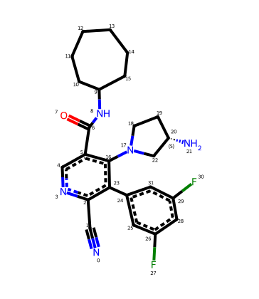 N#Cc1ncc(C(=O)NC2CCCCCC2)c(N2CC[C@H](N)C2)c1-c1cc(F)cc(F)c1